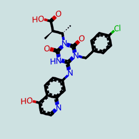 C[C@@H](C(=O)O)[C@H](C)n1c(=O)[nH]/c(=N\c2ccc3c(O)ccnc3c2)n(Cc2ccc(Cl)cc2)c1=O